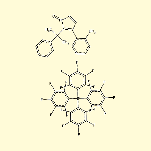 Cc1ccccc1C1=C(C(C)(C)c2ccccc2)[IH](=O)C=C1.Fc1c(F)c(F)c([B-](c2c(F)c(F)c(F)c(F)c2F)(c2c(F)c(F)c(F)c(F)c2F)c2c(F)c(F)c(F)c(F)c2F)c(F)c1F